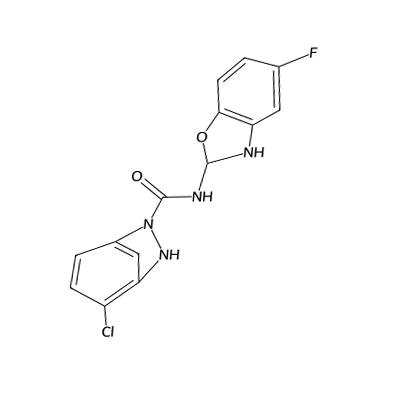 O=C(NC1Nc2cc(F)ccc2O1)N1Nc2cc1ccc2Cl